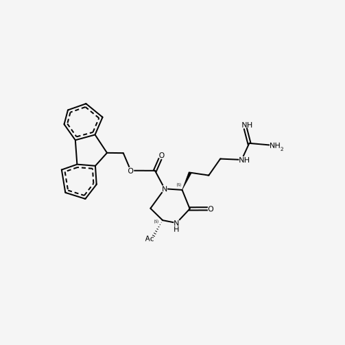 CC(=O)[C@@H]1CN(C(=O)OCC2c3ccccc3-c3ccccc32)[C@@H](CCCNC(=N)N)C(=O)N1